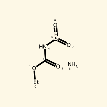 CCOC(=O)N[SH](=O)=O.N